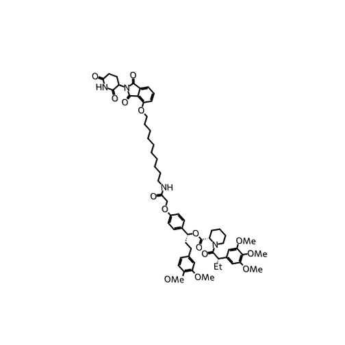 CC[C@H](C(=O)N1CCCC[C@H]1C(=O)O[C@H](CCc1ccc(OC)c(OC)c1)c1ccc(OCC(=O)NCCCCCCCCCCOc2cccc3c2C(=O)N(C2CCC(=O)NC2=O)C3=O)cc1)c1cc(OC)c(OC)c(OC)c1